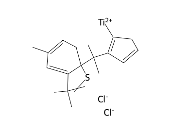 CSC1(C(C)(C)C2=[C]([Ti+2])CC=C2)CC=C(C)C=C1C(C)(C)C.[Cl-].[Cl-]